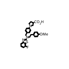 COc1ccc(CCN(Cc2ccc(N3CC[C@@H](C(=O)O)C3)cc2)c2nc3cccc(F)c3s2)cc1